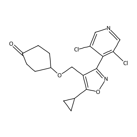 O=C1CCC(OCc2c(-c3c(Cl)cncc3Cl)noc2C2CC2)CC1